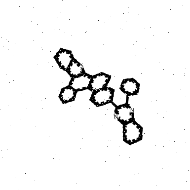 c1ccc(-c2nc3ccccc3nc2-c2ccc3c(ccc4c5sc6ccccc6c5c5ccccc5c34)c2)cc1